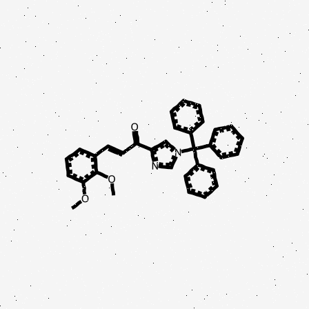 COc1cccc(C=CC(=O)c2cn(C(c3ccccc3)(c3ccccc3)c3ccccc3)cn2)c1OC